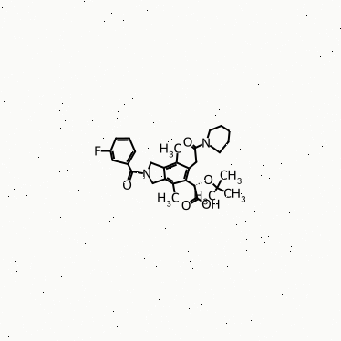 Cc1c2c(c(C)c([C@H](OC(C)(C)C)C(=O)O)c1CC(=O)N1CCCCC1)CN(C(=O)c1cccc(F)c1)C2